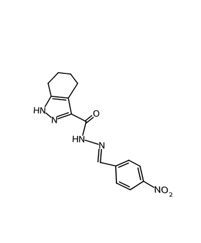 O=C(N/N=C/c1ccc([N+](=O)[O-])cc1)c1n[nH]c2c1CCCC2